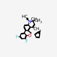 C#CN1c2ccc3c(c2C(C)=CC1(C)C)COc1c(F)cc(F)cc1-3.c1cc2cc-2c1